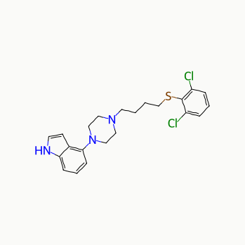 Clc1cccc(Cl)c1SCCCCN1CCN(c2cccc3[nH]ccc23)CC1